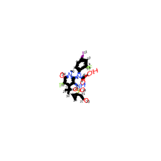 Cn1c(N(C(=O)O)c2ccc(I)cc2F)c(NS(=O)(=O)C2(CC=O)CC2)c(C(C)(C)C)c(F)c1=O